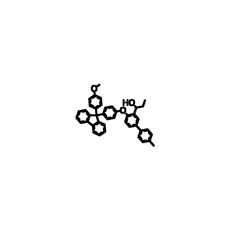 CCC(O)c1cc(-c2ccc(C)cc2)ccc1Oc1ccc(C2(c3ccc(OC)cc3)c3ccccc3-c3ccccc32)cc1